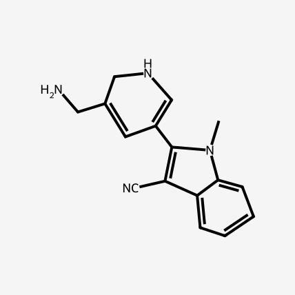 Cn1c(C2=CNCC(CN)=C2)c(C#N)c2ccccc21